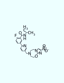 CC(C)NC(=O)c1cc(-c2ccc(CN3CCOc4nc([N+](=O)[O-])cn4CC3)cn2)ccc1F